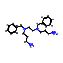 NCCCN(CCN(CCCN)Cc1ccccc1)Cc1ccccc1